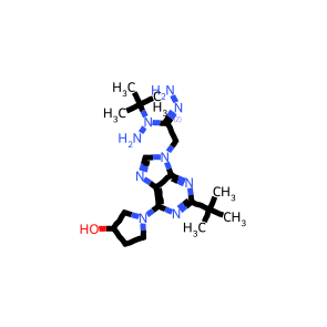 CC(C)(C)c1nc(N2CCC(O)C2)c2ncn(C/C(=N/N)N(N)C(C)(C)C)c2n1